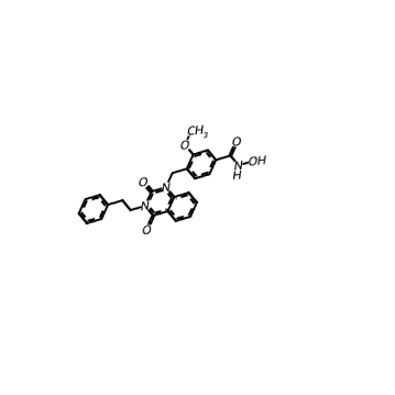 COc1cc(C(=O)NO)ccc1Cn1c(=O)n(CCc2ccccc2)c(=O)c2ccccc21